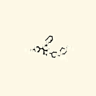 C=C(N1CCC(n2ncc3c(-c4cnc(N)nc4)nc(N4CC5CCC(C4)O5)nc32)CC1)N1CCN(C)CC1